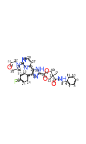 CC1(C(=O)NCc2ccccc2)COC(c2nc(-c3ccc(F)cc3)c(-c3ccnc(N4CCOCC4)n3)[nH]2)OC1